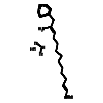 CCCCCCCCC=CCCCCCCCCC=C(N)Cc1ccccc1.CCNCC.Cl